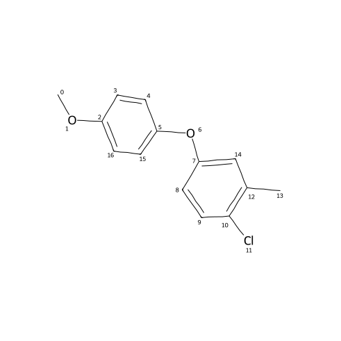 COc1ccc(Oc2ccc(Cl)c(C)c2)cc1